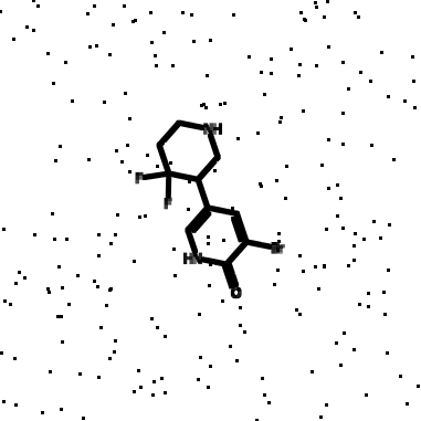 O=c1[nH]cc(C2CNCCC2(F)F)cc1Br